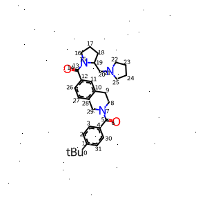 CC(C)(C)c1ccc(C(=O)N2CCc3cc(C(=O)N4CCCC4CN4CCCC4)ccc3C2)cc1